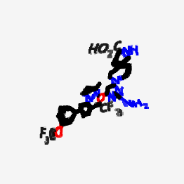 Cc1ccn(-c2cc(-c3cccc(OC(F)(F)F)c3)ccc2[C@@H](Oc2cc(N3CCC4(CC3)CNC(C(=O)O)C4)nc(N)n2)C(F)(F)F)n1